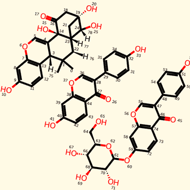 CC1(C)[C@H]2C(=COc3cc(O)ccc32)[C@]2(O)C(=O)C[C@]3(O)C[C@H]1[C@H]2[C@H]3O.O=c1c(-c2ccc(O)cc2)coc2cc(O)ccc12.O=c1c(-c2ccc(O)cc2)coc2cc(OC3O[C@H](CO)[C@@H](O)[C@H](O)[C@H]3O)ccc12